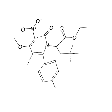 CCOC(=O)C(CC(C)(C)C)n1c(-c2ccc(C)cc2)c(C)c(OC)c([N+](=O)[O-])c1=O